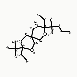 CCCC(C)(C)C1(CC)OCC2(COC(CC)(C(C)(C)C)OC2)CO1